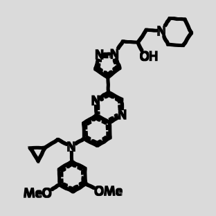 COc1cc(OC)cc(N(CC2CC2)c2ccc3ncc(-c4cnn(CC(O)CN5CCCCC5)c4)nc3c2)c1